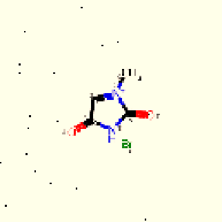 C[N+]1=CC(=O)NC1=O.[Br-]